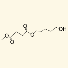 COC(=O)CCC(=O)OCCCCCO